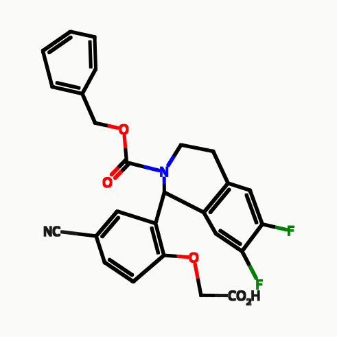 N#Cc1ccc(OCC(=O)O)c(C2c3cc(F)c(F)cc3CCN2C(=O)OCc2ccccc2)c1